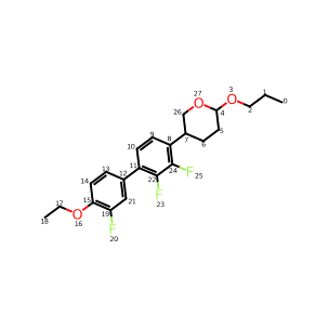 CCCOC1CCC(c2ccc(-c3ccc(OCC)c(F)c3)c(F)c2F)CO1